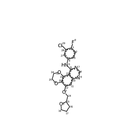 Fc1ccc(Nc2ncnc3cc(OCC4CCCO4)c4c(c23)OCCO4)cc1Cl